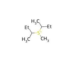 CCC(C)[S+](C)C(C)CC